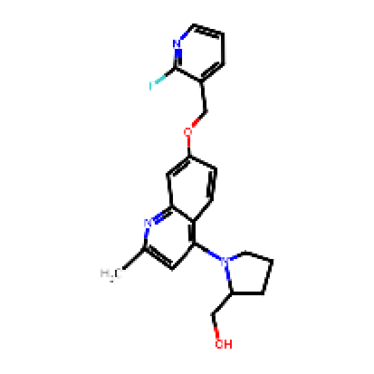 Cc1cc(N2CCCC2CO)c2ccc(OCc3cccnc3F)cc2n1